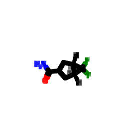 NC(=O)C1C[C@@H]2[C@H](C1)C2(F)F